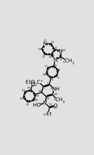 CCOC(=O)C1=C(c2ccc(-n3c(C)nc4cnccc43)cc2)NC(C)=C(N(O)C(=O)CC)C1c1ccccc1Cl